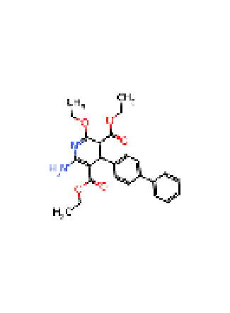 CCOC(=O)C1=C(N)N=C(OCC)C(C(=O)OCC)C1c1ccc(-c2ccccc2)cc1